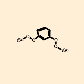 CC(C)(C)OOc1cccc(OOC(C)(C)C)c1